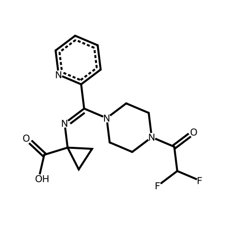 O=C(C(F)F)N1CCN(C(=NC2(C(=O)O)CC2)c2ccccn2)CC1